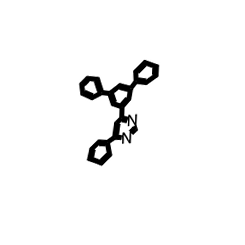 c1ccc(-c2cc(-c3ccccc3)cc(-c3cc(-c4ccccc4)ncn3)c2)cc1